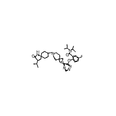 CC(C)C1CC2(CCC(CN3CCC4(CC3)CN(c3ncnnc3Oc3ccc(F)cc3C(=O)N(C(C)C)C(C)C)C4)CC2)NC1=O